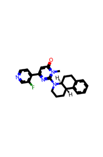 Cn1c(N2CCC[C@H]3c4ccccc4CC[C@@H]32)nc(-c2ccncc2F)cc1=O